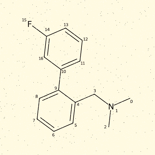 CN(C)Cc1ccccc1-c1cccc(F)c1